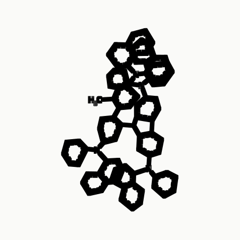 Cc1cc(N(c2ccccc2)c2cccc3ccccc23)ccc1-c1ccc(N(c2ccccc2)c2cccc3ccccc23)cc1C1c2cc(N(c3ccccc3)c3cccc4ccccc34)ccc2-c2ccc(N(c3ccccc3)c3cccc4ccccc34)cc21